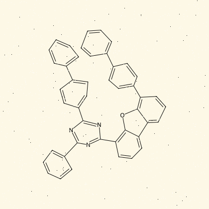 c1ccc(-c2ccc(-c3nc(-c4ccccc4)nc(-c4cccc5c4oc4c(-c6ccc(-c7ccccc7)cc6)cccc45)n3)cc2)cc1